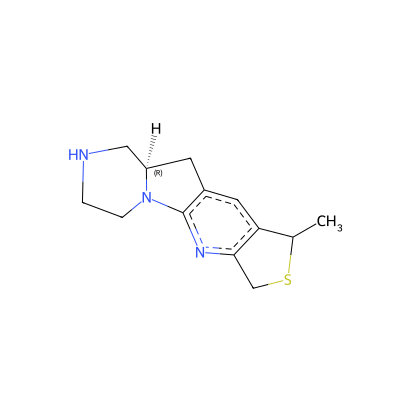 CC1SCc2nc3c(cc21)C[C@@H]1CNCCN31